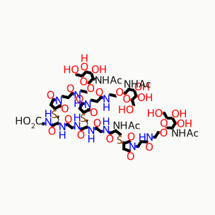 CC(=O)NC1C(OCCNC(=O)CCN2C(=O)CC(SC[C@H](NC(C)=O)C(=O)NCC(=O)N[C@@H](CSC3CC(=O)N(CCC(=O)NCCOC4OC(CO)C(O)C(O)C4NC(C)=O)C3=O)C(=O)NCC(=O)N[C@@H](CSC3CC(=O)N(CCC(=O)NCCOC4OC(CO)C(O)C(O)C4NC(C)=O)C3=O)C(=O)NCC(=O)O)C2=O)OC(CO)C(O)C1O